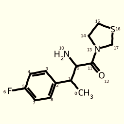 CC(c1ccc(F)cc1)C(N)C(=O)N1CCSC1